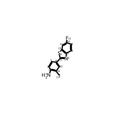 Nc1ccc(-c2nc3ccc(F)cc3s2)cc1I